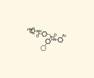 CC(=O)c1cccc(NC(=O)N(Cc2ccc(C(=O)Nc3nn[nH]n3)cc2)c2ccc(C3CCCCC3)cc2)c1